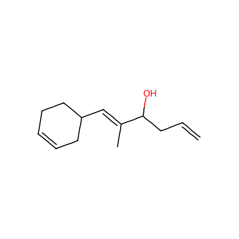 C=CCC(O)/C(C)=C/C1CC=CCC1